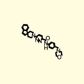 O=C(Nc1ccc(CN2CCOCC2)cc1)c1ccc(N2CCC3(C=Cc4ccccc43)CC2)nn1